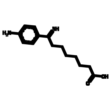 N=C(CCCCCCC(=O)O)c1ccc(N)cc1